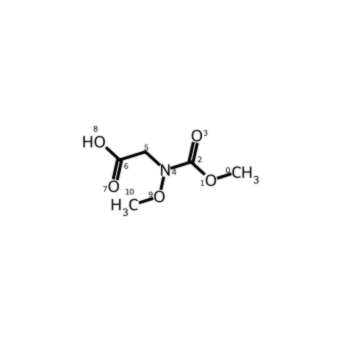 COC(=O)N(CC(=O)O)OC